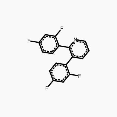 Fc1ccc(-c2cccnc2-c2ccc(F)cc2F)c(F)c1